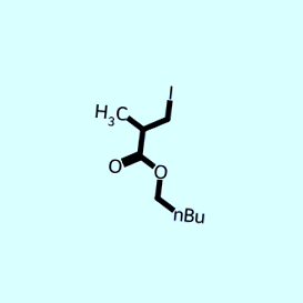 CCCCCOC(=O)C(C)CI